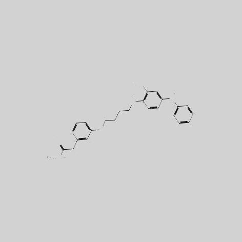 CCCc1cc(Oc2ccccc2)ccc1OCCCCOc1cccc(CC(=O)OC)c1